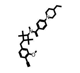 C#Cc1ccc(CC2C(C)(C)C(N(C)C(=C)c3ccc(N4CCC(CC)CC4)cc3)C2(C)C)cc1OC